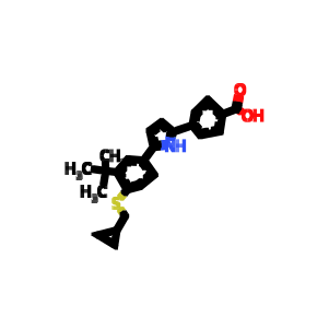 CC(C)(C)c1cc(-c2ccc(-c3ccc(C(=O)O)cc3)[nH]2)ccc1SCC1CC1